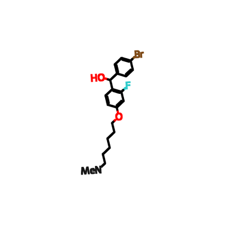 CNCCCCCCOc1ccc(C(O)c2ccc(Br)cc2)c(F)c1